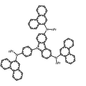 CCCN(c1ccc(-n2c3ccc(N(CCC)c4cc5ccccc5c5ccccc45)cc3c3cc(N(CCC)c4cc5ccccc5c5ccccc45)ccc32)cc1)c1cc2ccccc2c2ccccc12